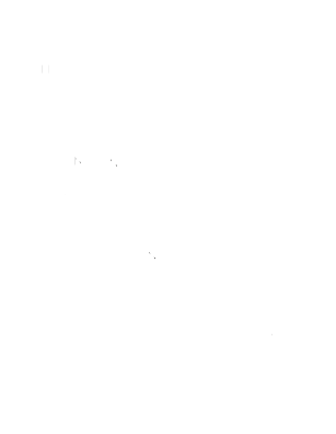 Cc1c(-c2ccccc2Nc2ccc(C(F)(F)F)cc2)cnn1CCO